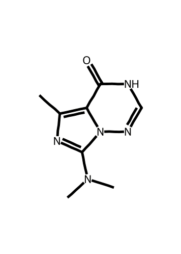 Cc1nc(N(C)C)n2nc[nH]c(=O)c12